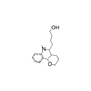 CN1c2ccccc2C2OCCCC2C1CCCCO